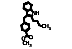 CCCCc1[nH]c2ccccc2c1Cc1ccc(C(=O)OC)cc1